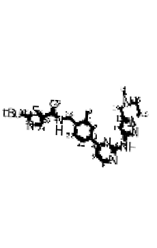 Cc1cc(-c2ccnc(Nc3cc4n(n3)CCN(C)C4)n2)ccc1CNC(=O)c1cnc(C(C)(C)C)s1